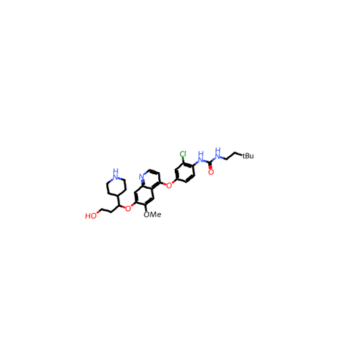 COc1cc2c(Oc3ccc(NC(=O)NCCC(C)(C)C)c(Cl)c3)ccnc2cc1OC(CCO)C1CCNCC1